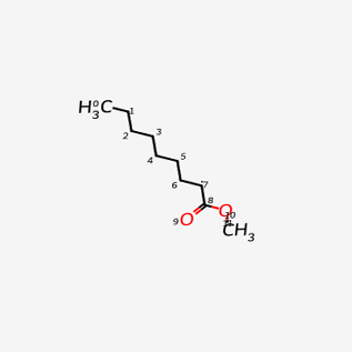 CCCCCCC[CH]C(=O)OC